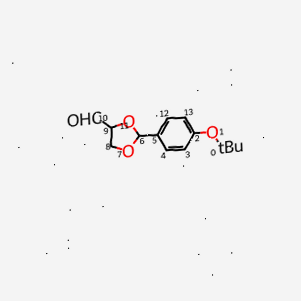 CC(C)(C)Oc1ccc(C2OCC(C=O)O2)cc1